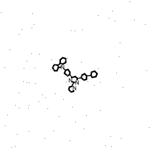 c1ccc(-c2ccc(-c3cc(-c4ccc(-n5c6ccccc6c6ccccc65)cc4)nc(-c4ccccn4)n3)cc2)cc1